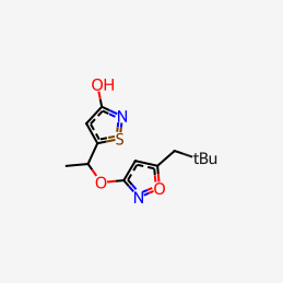 CC(Oc1cc(CC(C)(C)C)on1)c1cc(O)ns1